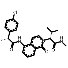 CNC(=O)[C@@H](C(C)C)n1ccc2c(NC(=O)[C@H](C)c3ccc(Cl)cc3)cccc2c1=O